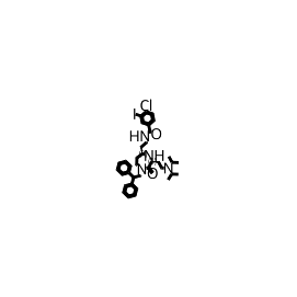 CC(C)N(CC[C@@H]1N[C@H](CCNC(=O)c2ccc(Cl)c(I)c2)CCN(CC(c2ccccc2)c2ccccc2)C1=O)C(C)C